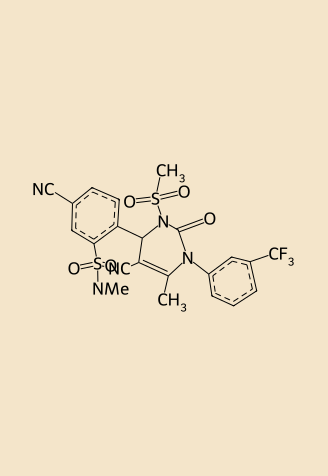 CNS(=O)(=O)c1cc(C#N)ccc1C1C(C#N)=C(C)N(c2cccc(C(F)(F)F)c2)C(=O)N1S(C)(=O)=O